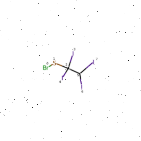 BrSC(I)(I)C(I)I